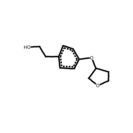 OCCc1ccc(OC2CCOC2)cc1